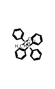 C[PH](C)(c1ccccc1)[PH](c1ccccc1)(c1ccccc1)c1ccccc1